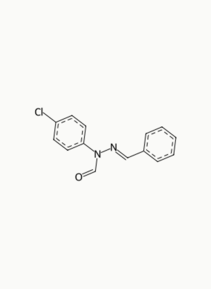 O=CN(/N=C/c1ccccc1)c1ccc(Cl)cc1